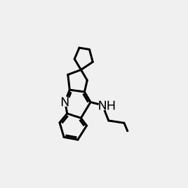 CCCNc1c2c(nc3ccccc13)CC1(CCCC1)C2